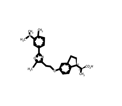 Cc1ccc(-c2nc(CCOc3ccc4c(c3)CC[C@H]4[C@H](C)C(=O)O)c(C)o2)cc1N(C)C